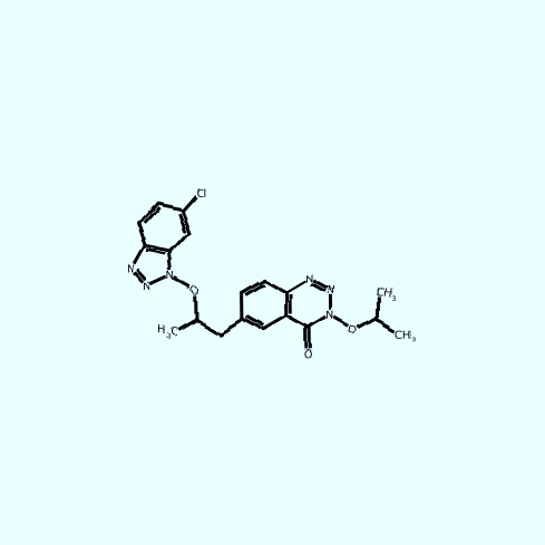 CC(C)On1nnc2ccc(CC(C)On3nnc4ccc(Cl)cc43)cc2c1=O